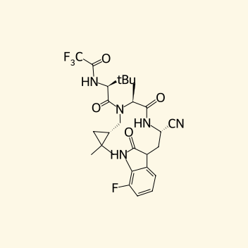 C[C@@H](C(=O)N[C@H](C#N)CC1C(=O)Nc2c(F)cccc21)N(C[C@H]1CC1(C)C)C(=O)[C@@H](NC(=O)C(F)(F)F)C(C)(C)C